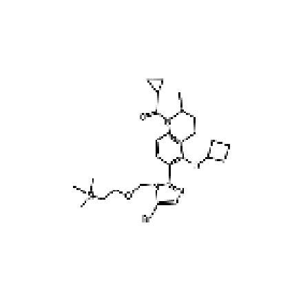 C[C@H]1CCc2c(ccc(-c3ncc(Br)n3COCC[Si](C)(C)C)c2OC2CCC2)N1C(=O)C1CC1